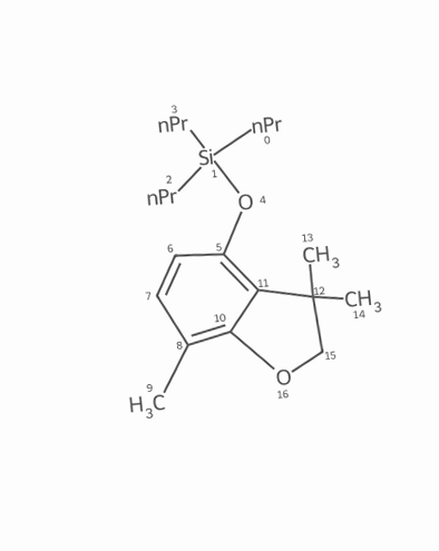 CCC[Si](CCC)(CCC)Oc1ccc(C)c2c1C(C)(C)CO2